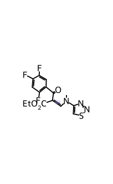 CCOC(=O)/C(=C/N(C)c1csnn1)C(=O)c1cc(F)c(F)cc1F